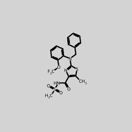 Cc1sc(N(Cc2ccccc2)c2ccccc2OC(F)(F)F)nc1C(=O)NS(C)(=O)=O